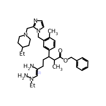 CCC1CCN(Cc2nccn2Cc2cc(C(CC/C(N)=C/N(N)CC)C(C)C(=O)OCc3ccccc3)ccc2C)CC1